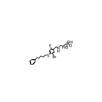 O=P(O)(O)CCCNCc1cc(Br)c(SCCCCCc2ccccc2)cc1F